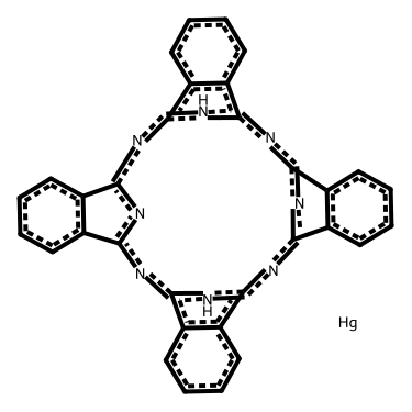 [Hg].c1ccc2c(c1)-c1nc-2nc2[nH]c(nc3nc(nc4[nH]c(n1)c1ccccc41)-c1ccccc1-3)c1ccccc21